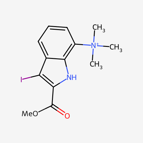 COC(=O)c1[nH]c2c([N+](C)(C)C)cccc2c1I